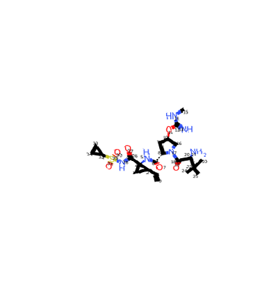 C=CC1C[C@]1(NC(=O)[C@@H]1C[C@@H](OC(=N)NC)CN1C(=O)[C@@H](N)C(C)(C)C)C(=O)NS(=O)(=O)C1CC1